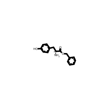 N[C@H](Cc1ccc(O)cc1)C(=O)OCc1ccccc1